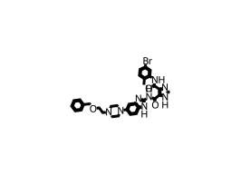 Cc1ccc(Br)cc1NC(=O)c1nc[nH]c1C(=O)Nc1nc2cc(N3CCN(CCOCc4ccccc4)CC3)ccc2[nH]1